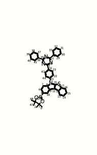 CC1(C)OB(c2ccc3c(c2)c2c4ccccc4sc2n3-c2ccc(-c3nc(-c4ccccc4)nc(-c4ccccc4)n3)cc2)OC1(C)C